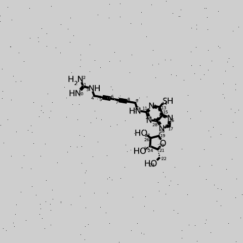 N=C(N)NCC#CC#CCNc1nc(S)c2ncn([C@@H]3O[C@H](CO)[C@H](O)C3O)c2n1